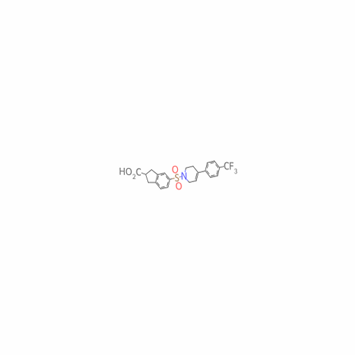 O=C(O)C1Cc2ccc(S(=O)(=O)N3CC=C(c4ccc(C(F)(F)F)cc4)CC3)cc2C1